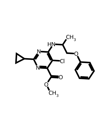 COC(=O)c1nc(C2CC2)nc(NC(C)COc2ccccc2)c1Cl